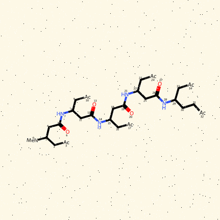 CNC(CC(C)=O)CC(=O)NC(CC(C)=O)CC(=O)NC(CC(C)=O)CC(=O)NC(CC(C)=O)CC(=O)NC(CCC(C)=O)CC(C)=O